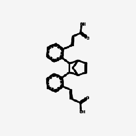 O=C(O)C=Cc1ccccc1C1C2C=CC(C2)C1c1ccccc1C=CC(=O)O